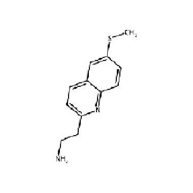 CSc1ccc2nc(CCN)ccc2c1